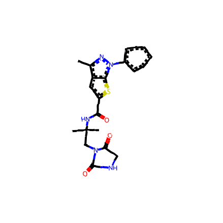 Cc1nn(-c2ccccc2)c2sc(C(=O)NC(C)(C)CN3C(=O)CNC3=O)cc12